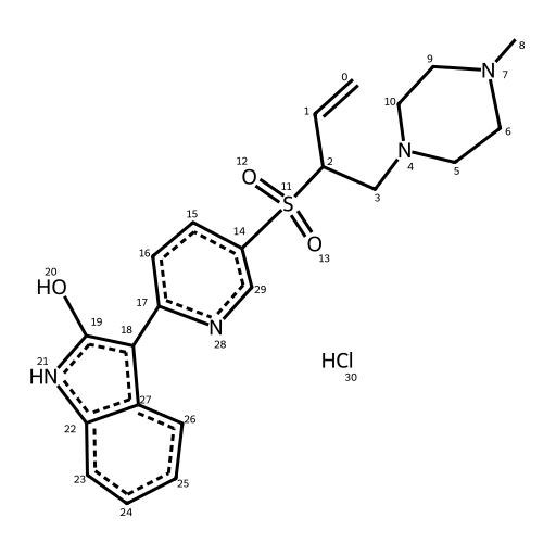 C=CC(CN1CCN(C)CC1)S(=O)(=O)c1ccc(-c2c(O)[nH]c3ccccc23)nc1.Cl